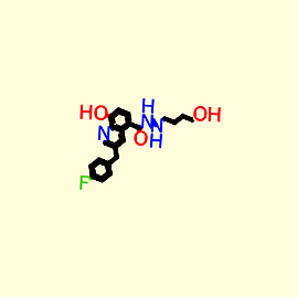 O=C(NNCCCCO)c1ccc(O)c2ncc(Cc3ccc(F)cc3)cc12